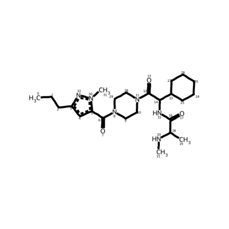 CCCc1cc(C(=O)N2CCN(C(=O)C(NC(=O)C(C)NC)C3CCCCC3)CC2)n(C)n1